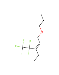 [CH2]CCOCC=C(CC)C(F)(F)C(F)(F)F